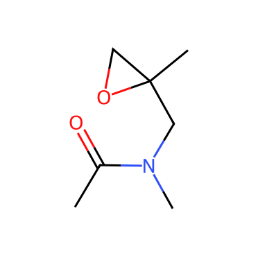 CC(=O)N(C)CC1(C)CO1